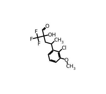 COc1cccc(C(C)CC(O)(C=O)C(F)(F)F)c1Cl